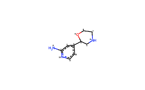 Nc1cc(C2CNCCO2)ccn1